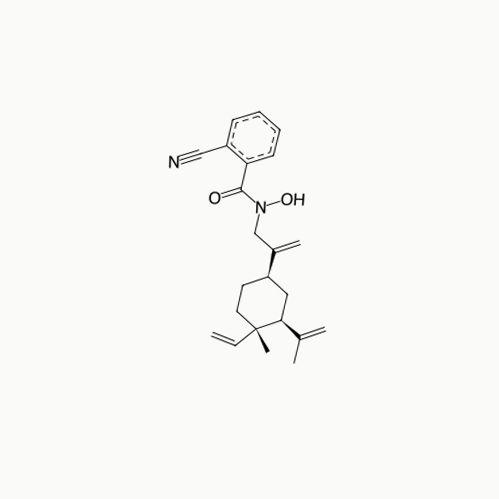 C=C[C@]1(C)CC[C@@H](C(=C)CN(O)C(=O)c2ccccc2C#N)C[C@H]1C(=C)C